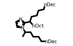 CCCCCCCCCCCCCCC(CCCCCCCC)c1nccn1C(C)CCCCCCCCCCCCCC